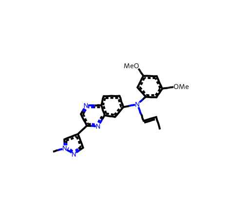 C/C=C/N(c1cc(OC)cc(OC)c1)c1ccc2ncc(-c3cnn(C)c3)nc2c1